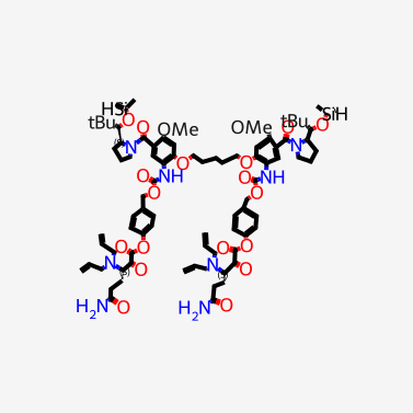 C=CCN(CC=C)[C@@H](CCC(N)=O)C(=O)C(=O)Oc1ccc(COC(=O)Nc2cc(C(=O)N3CCCC3C(O[SiH](C)C)C(C)(C)C)c(OC)cc2OCCCCCOc2cc(OC)c(C(=O)N3CCC[C@H]3C(O[SiH](C)C)C(C)(C)C)cc2NC(=O)OCc2ccc(OC(=O)C(=O)[C@H](CCC(N)=O)N(CC=C)CC=C)cc2)cc1